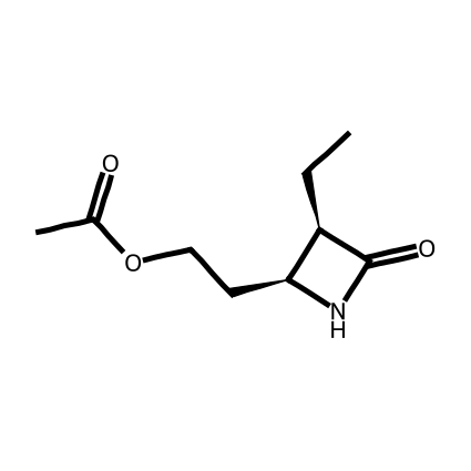 CC[C@H]1C(=O)N[C@H]1CCOC(C)=O